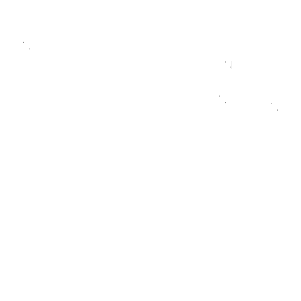 CC(/C(=C\c1ccc(C#N)cc1)c1ccc(F)cc1)n1cncn1